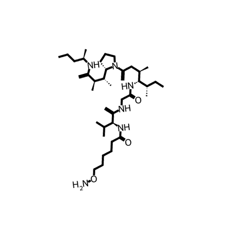 C=C(NCC(=O)N[C@H]([C@H](C)CC(=C)N1CCC[C@H]1[C@H](C)[C@@H](C)C(=C)N[C@H](C)CCC)[C@@H](C)CC)[C@@H](NC(=O)CCCCCON)C(C)C